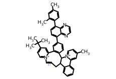 Cc1ccc(-c2ccc(-c3ccc4c(c3)-c3cc(C(C)(C)C)cc[n+]3/C=C/CC3c5ccccc5-c5cc(C)cc[n+]5C43)c3nccnc23)c(C)c1